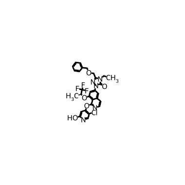 CCn1c(COCc2ccccc2)nn(-c2cc(O[C@@H](C)C(F)(F)F)c3c(Oc4cc(O)ncc4Cl)nccc3c2)c1=O